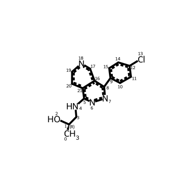 C[C@@H](O)CNc1nnc(-c2ccc(Cl)cc2)c2cnccc12